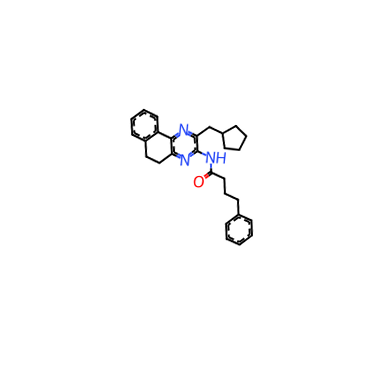 O=C(CCCc1ccccc1)Nc1nc2c(nc1CC1CCCC1)-c1ccccc1CC2